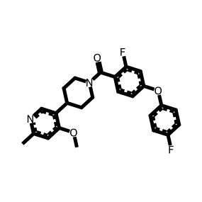 COc1cc(C)ncc1C1CCN(C(=O)c2ccc(Oc3ccc(F)cc3)cc2F)CC1